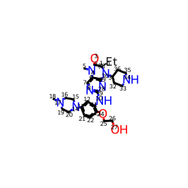 CC[C@@H]1C(=O)N(C)c2cnc(Nc3cc(N4CCN(C)CC4)ccc3OCCO)nc2N1C1CCNCC1